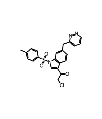 Cc1ccc(S(=O)(=O)n2cc(C(=O)CCl)c3ccc(Cc4cccnn4)cc32)cc1